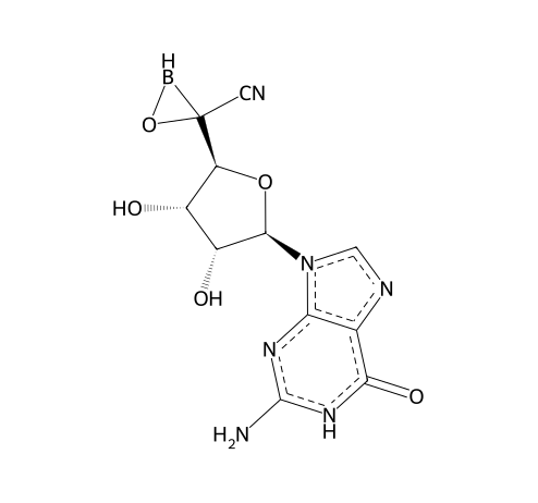 N#CC1([C@H]2O[C@@H](n3cnc4c(=O)[nH]c(N)nc43)[C@H](O)[C@@H]2O)BO1